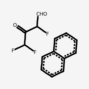 O=CC(F)C(=O)C(F)F.c1ccc2ccccc2c1